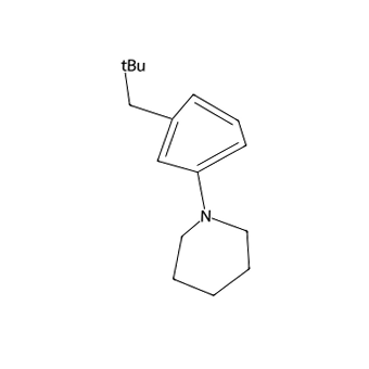 CC(C)(C)Cc1cccc(N2CCCCC2)c1